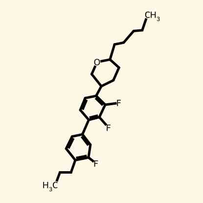 CCCCCC1CCC(c2ccc(-c3ccc(CCC)c(F)c3)c(F)c2F)CO1